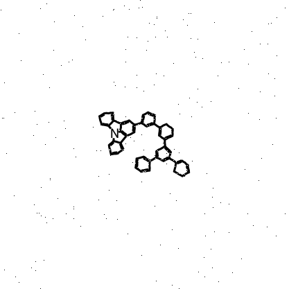 C1=CCCC(c2cc(C3=CCCC(c4cccc(-c5cc6c7ccccc7n7c8ccccc8c(c5)c67)c4)=C3)cc(-c3ccccc3)c2)=C1